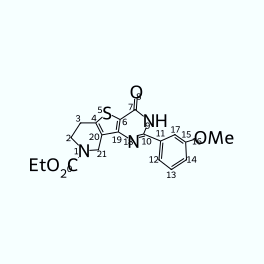 CCOC(=O)N1CCc2sc3c(=O)[nH]c(-c4cccc(OC)c4)nc3c2C1